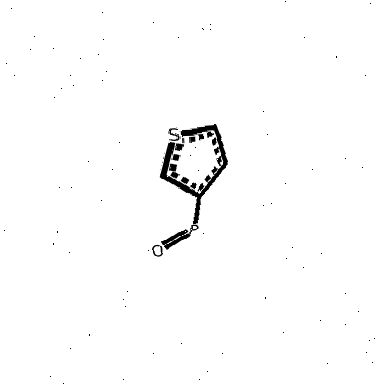 O=Pc1ccsc1